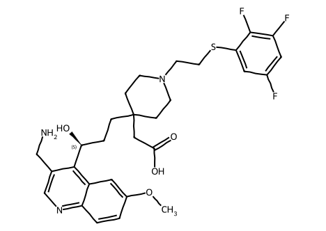 COc1ccc2ncc(CN)c([C@@H](O)CCC3(CC(=O)O)CCN(CCSc4cc(F)cc(F)c4F)CC3)c2c1